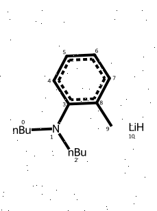 CCCCN(CCCC)c1ccccc1C.[LiH]